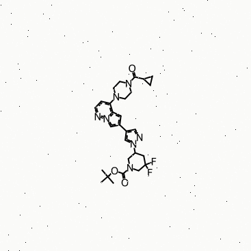 CC(C)(C)OC(=O)N1CC(n2cc(-c3cc4c(N5CCN(C(=O)C6CC6)CC5)ccnn4c3)cn2)CC(F)(F)C1